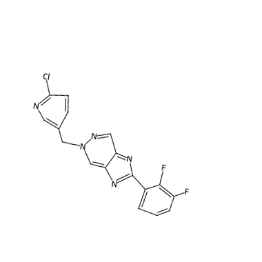 Fc1cccc(-c2nc3cnn(Cc4ccc(Cl)nc4)cc-3n2)c1F